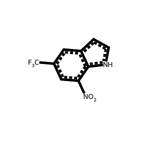 O=[N+]([O-])c1cc(C(F)(F)F)cc2cc[nH]c12